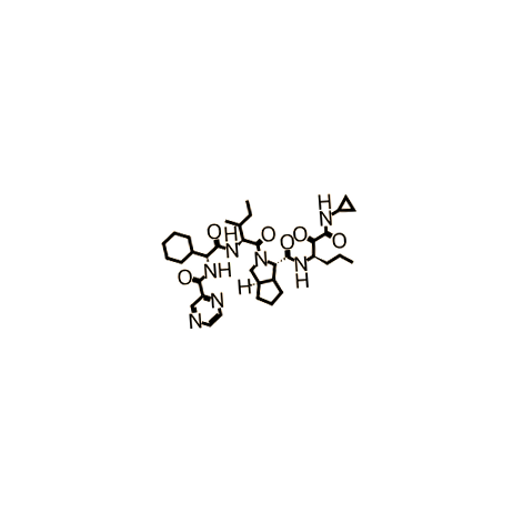 CCC[C@@H](NC(=O)[C@@H]1C2CCC[C@H]2CN1C(=O)[C@@H](NC(=O)[C@H](NC(=O)c1cnccn1)C1CCCCC1)C(C)CC)C(=O)C(=O)NC1CC1